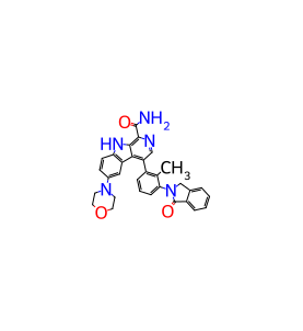 Cc1c(-c2cnc(C(N)=O)c3[nH]c4ccc(N5CCOCC5)cc4c23)cccc1N1Cc2ccccc2C1=O